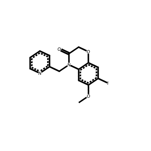 COc1cc2c(cc1I)OCC(=O)N2Cc1ccccn1